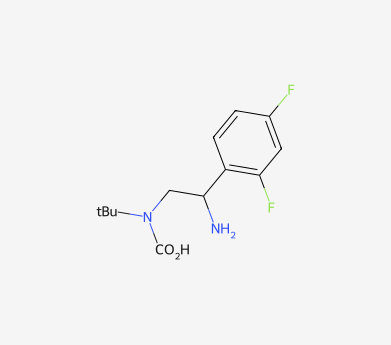 CC(C)(C)N(CC(N)c1ccc(F)cc1F)C(=O)O